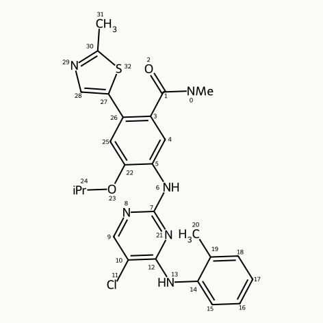 CNC(=O)c1cc(Nc2ncc(Cl)c(Nc3ccccc3C)n2)c(OC(C)C)cc1-c1cnc(C)s1